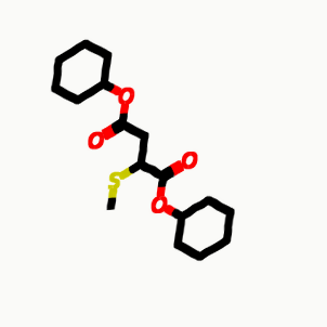 CSC(CC(=O)OC1CCCCC1)C(=O)OC1CCCCC1